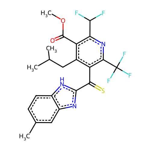 COC(=O)c1c(C(F)F)nc(C(F)(F)F)c(C(=S)c2nc3cc(C)ccc3[nH]2)c1CC(C)C